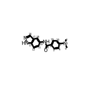 CN(C)c1ccc(C(=O)Nc2ccc3[nH]ncc3c2)cc1